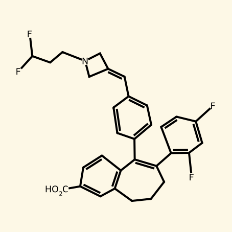 O=C(O)c1ccc2c(c1)CCCC(c1ccc(F)cc1F)=C2c1ccc(C=C2CN(CCC(F)F)C2)cc1